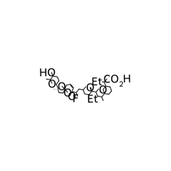 CCC(C(=O)O)C1CCCC(C(C)CC(C)C(=O)[C@H](CC)CC(C)CC(C)C2(OF)C=CCC3(CC[C@@](C)(C4CCC(O)C(C)O4)O3)O2)O1